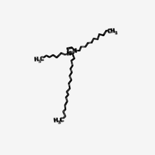 CCCCCCCCCCCCCCCCCCc1n(CCCCCCCCCCC)cc[n+]1CCCCCCC